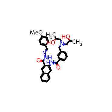 COc1ccc(/C=N/NC(=O)c2cc3ccccc3cc2NC(=O)c2cccc(CN(CC(C)O)CC(C)O)c2)cc1